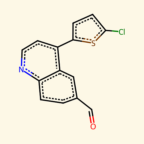 O=Cc1ccc2nccc(-c3ccc(Cl)s3)c2c1